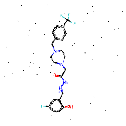 O=C(CN1CCN(Cc2ccc(C(F)(F)F)cc2)CC1)N/N=C/c1cc(F)ccc1O